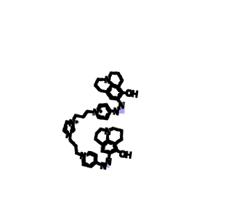 Oc1c(/N=N\c2cc[n+](CCCn3cc[n+](CCC[n+]4ccc(/N=N\c5cc6c7c(c5O)CCCN7CCC6)cc4)c3)cc2)cc2c3c1CCCN3CCC2